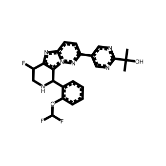 CC(C)(O)c1ncc(-c2ccc3nc4c(n3n2)C(c2ccccc2OC(F)F)NCC4F)cn1